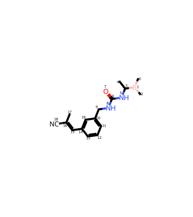 CB(C)C(C)NC(=O)NCc1cccc(C=C(C)C#N)c1